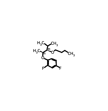 CCCCO[C@H](C(C)C)[C@H](C)Oc1ccc(F)cc1F